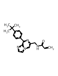 C=CC(=O)NCc1cn2ccnc2c(-c2ccc(C(C)(C)C)cc2)n1